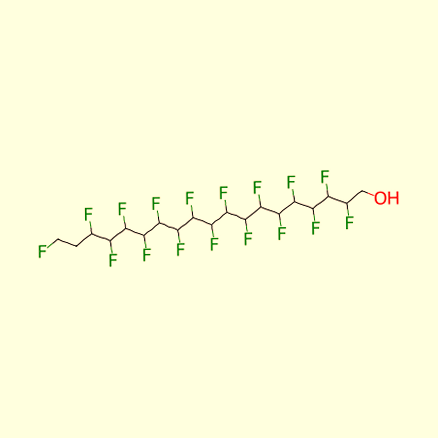 OCC(F)C(F)C(F)C(F)C(F)C(F)C(F)C(F)C(F)C(F)C(F)C(F)C(F)C(F)C(F)C(F)CCF